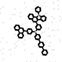 c1ccc(-c2ccc(-c3ccc(N(c4ccc(-c5cc6ccccc6c6ccccc56)cc4)c4cccc(-c5cc6ccccc6c6c5c5ccccc5n6-c5ccccc5)c4)cc3)cc2)cc1